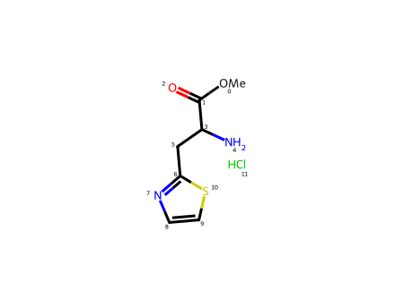 COC(=O)C(N)Cc1nccs1.Cl